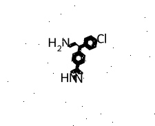 NCC[C@@H](c1ccc(Cl)cc1)c1ccc(-c2cn[nH]c2)cc1